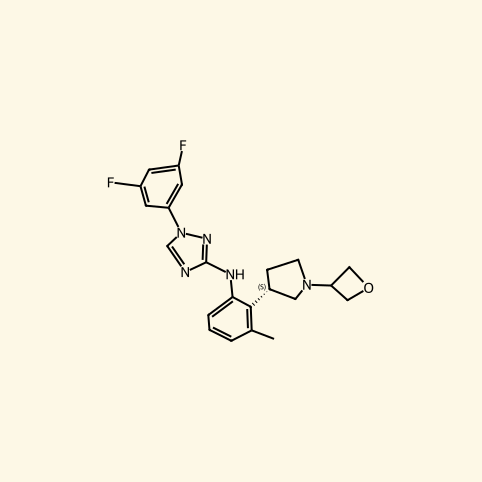 Cc1cccc(Nc2ncn(-c3cc(F)cc(F)c3)n2)c1[C@@H]1CCN(C2COC2)C1